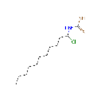 CCCCCCCCCCC(Cl)NC(=S)S